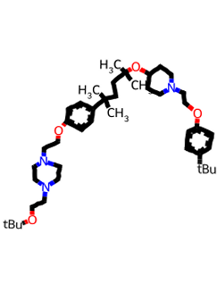 CC(C)(C)OCCN1CCN(CCOc2ccc(C(C)(C)CCC(C)(C)OC3CCN(CCOc4ccc(C(C)(C)C)cc4)CC3)cc2)CC1